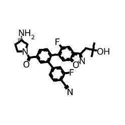 CC(C)(O)Cc1noc2cc(-c3ccc(C(=O)N4CC[C@H](N)C4)cc3-c3ccc(C#N)c(F)c3)c(F)cc12